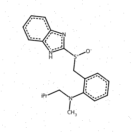 CC(C)CN(C)c1ccccc1C[S+]([O-])c1nc2ccccc2[nH]1